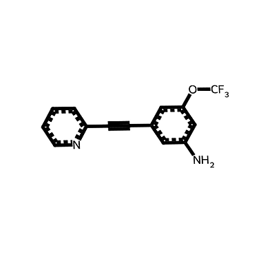 Nc1cc(C#Cc2ccccn2)cc(OC(F)(F)F)c1